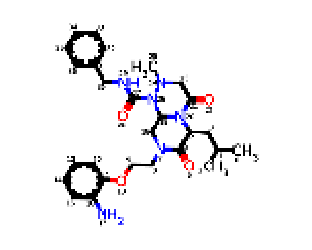 CC(C)C[C@H]1C(=O)N(CCOc2ccccc2N)CC2N1C(=O)CN(C)N2C(=O)NCc1ccccc1